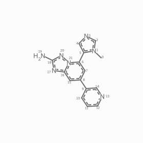 Cn1cncc1-c1cc(-c2cccnc2)cc2nc(N)nn12